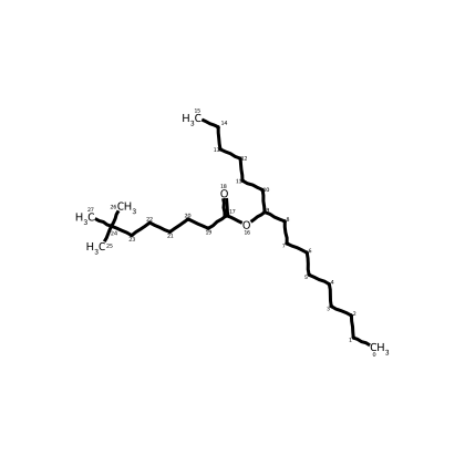 CCCCCCCCCC(CCCCCC)OC(=O)CCCCCC(C)(C)C